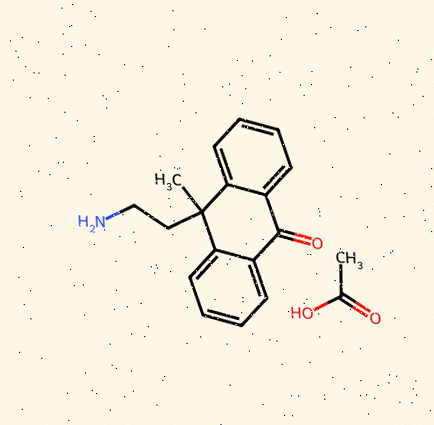 CC(=O)O.CC1(CCN)c2ccccc2C(=O)c2ccccc21